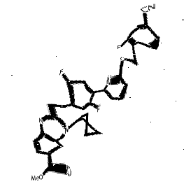 COC(=O)c1ccc2nc(Cc3cc(F)c(-c4cccc(OCc5ccc(C#N)cc5F)n4)cc3F)n(C3CC34CC4)c2c1